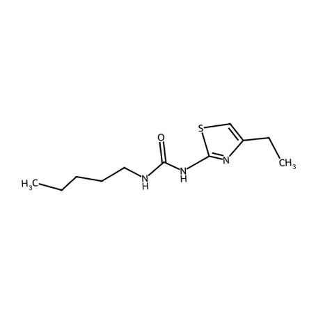 CCCCCNC(=O)Nc1nc(CC)cs1